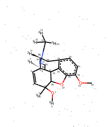 [2H]OC1([2H])C=C[C@]2([2H])[C@@]34CCN(C([2H])([2H])[2H])[C@]2([2H])Cc2ccc(OC)c(c23)OC14